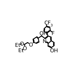 CCOC(COc1ccc(C(O)c2nc3cc(O)ccc3cc2-c2ccc(C(F)(F)F)cc2F)cc1)OCC